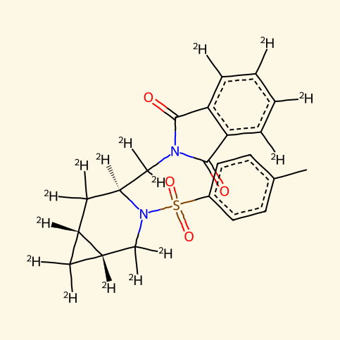 [2H]c1c([2H])c([2H])c2c(c1[2H])C(=O)N(C([2H])([2H])[C@@]1([2H])N(S(=O)(=O)c3ccc(C)cc3)C([2H])([2H])[C@]3([2H])C([2H])([2H])[C@]3([2H])C1([2H])[2H])C2=O